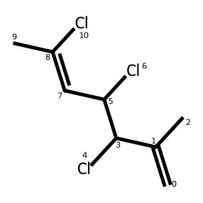 C=C(C)C(Cl)C(Cl)C=C(C)Cl